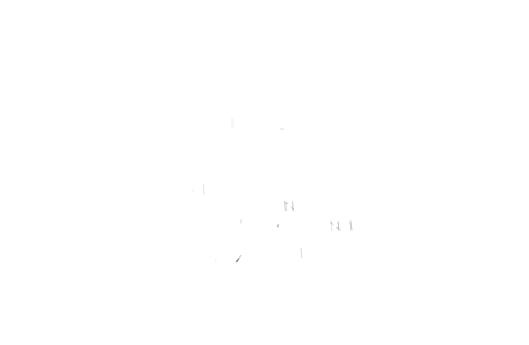 COC[C@@H]1C[C@@H]2CNCCN2c2cc(C(F)(F)F)cc(Cl)c2O1